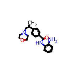 C=C(CN1CCOCC1)c1ccc(C(=O)Nc2ccccc2N)cc1